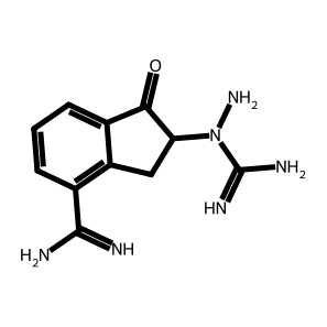 N=C(N)c1cccc2c1CC(N(N)C(=N)N)C2=O